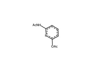 CC(=O)Nc1cccc(OC(C)=O)n1